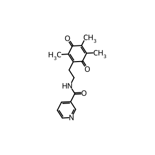 CC1=C(C)C(=O)C(CCNC(=O)c2cccnc2)=C(C)C1=O